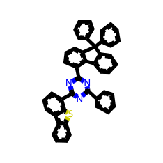 c1ccc(-c2nc(-c3cccc4c3-c3ccccc3C4(c3ccccc3)c3ccccc3)nc(-c3cccc4c3sc3ccccc34)n2)cc1